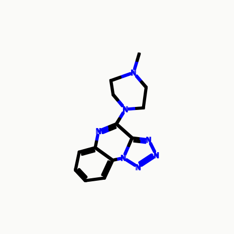 CN1CCN(c2nc3ccccc3n3nnnc23)CC1